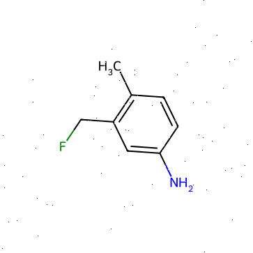 Cc1ccc(N)cc1CF